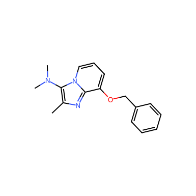 Cc1nc2c(OCc3ccccc3)cccn2c1N(C)C